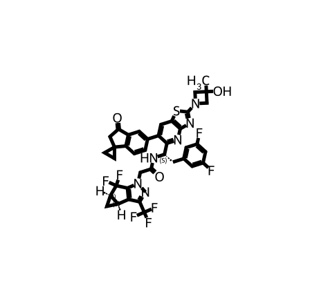 CC1(O)CN(c2nc3nc([C@H](Cc4cc(F)cc(F)c4)NC(=O)Cn4nc(C(F)(F)F)c5c4C(F)(F)[C@@H]4C[C@H]54)c(-c4ccc5c(c4)C(=O)CC54CC4)cc3s2)C1